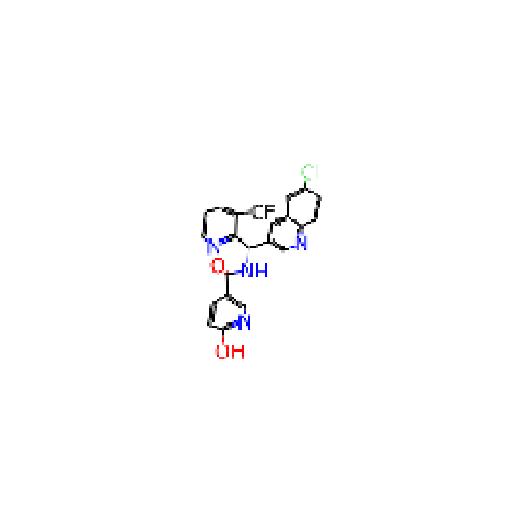 O=C(NC(c1cnc2ccc(Cl)cc2c1)c1ncccc1C(F)(F)F)c1ccc(O)nc1